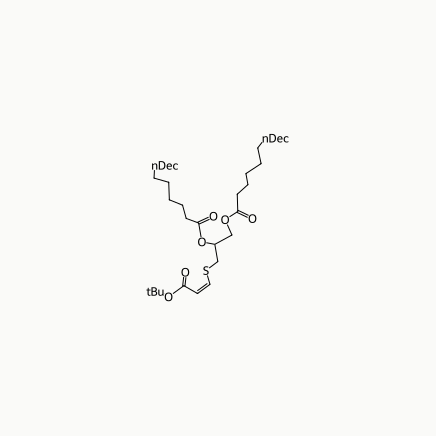 CCCCCCCCCCCCCCCC(=O)OCC(CS/C=C\C(=O)OC(C)(C)C)OC(=O)CCCCCCCCCCCCCCC